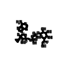 Nc1ncnc2c1ncn2[C@@H]1O[C@](F)(COP(=O)(S)OP(=O)(O)OC2OC([C@@H](F)CO)C(O)C(O)C2O)[C@@H](O)[C@]1(F)C1CC1